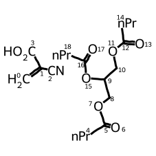 C=C(C#N)C(=O)O.CCCC(=O)OCC(COC(=O)CCC)OC(=O)CCC